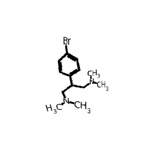 CN(C)CC(CN(C)C)c1ccc(Br)cc1